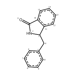 O=C1NC(Cc2ccccc2)c2ccccc21